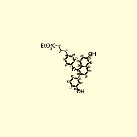 CCOC(=O)CCCc1ccc(Oc2c(-c3cccc(O)c3)ccc3cc(O)ccc23)cc1